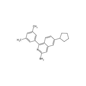 Bc1cc2cc(C3CCCC3)ccc2c(-c2cc(C)cc(C)c2)n1